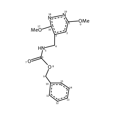 COc1cc(CNC(=O)OCc2ccccc2)c(OC)nn1